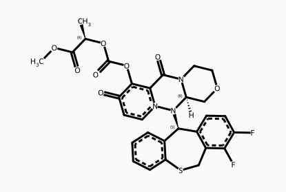 COC(=O)[C@@H](C)OC(=O)Oc1c2n(ccc1=O)N([C@@H]1c3ccccc3SCc3c1ccc(F)c3F)[C@@H]1COCCN1C2=O